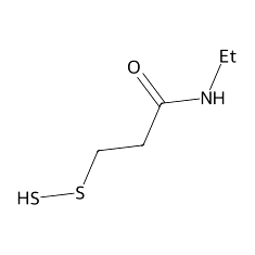 CCNC(=O)CCSS